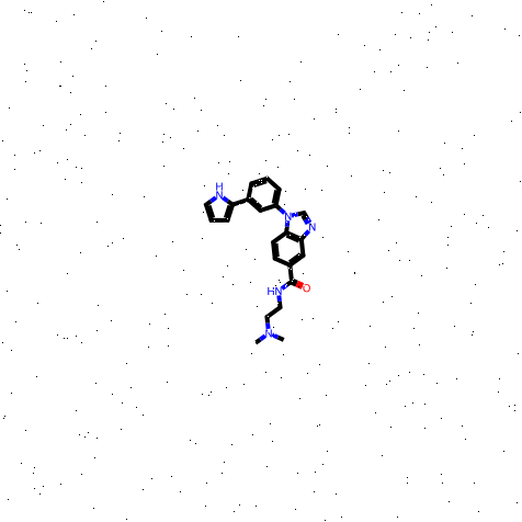 CN(C)CCNC(=O)c1ccc2c(c1)ncn2-c1cccc(-c2ccc[nH]2)c1